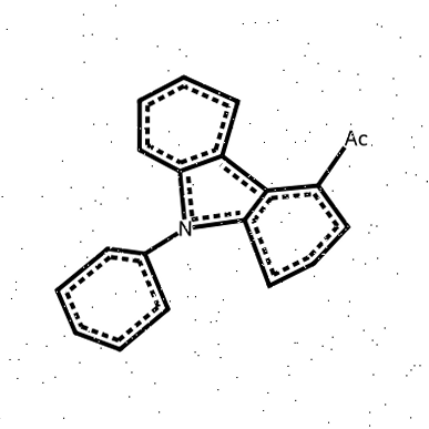 CC(=O)c1cccc2c1c1ccccc1n2-c1ccccc1